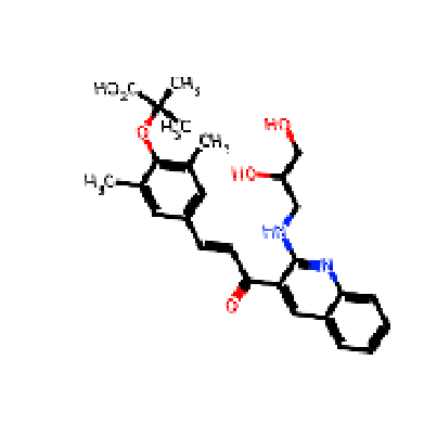 Cc1cc(/C=C/C(=O)c2cc3ccccc3nc2NCC(O)CO)cc(C)c1OC(C)(C)C(=O)O